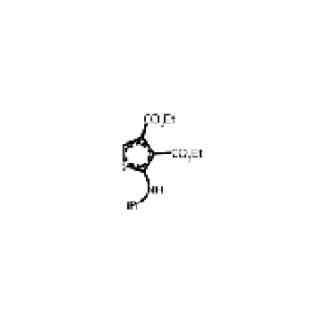 CCOC(=O)c1csc(NC(C)C)c1C(=O)OCC